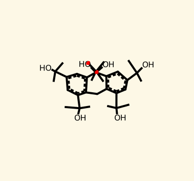 CC(C)(O)c1cc(C(C)(C)O)c(Cc2c(C(C)(C)O)cc(C(C)(C)O)cc2C(C)(C)O)c(C(C)(C)O)c1